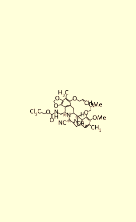 C=CCOc1c(C)c2c(c3c1CC1[C@@H]4c5c(cc(C)c(OC)c5OCOC)CC([C@H](C#N)N1[C@H]3CNC(=O)OCC(Cl)(Cl)Cl)N4C)OCO2